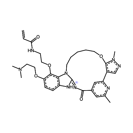 C=CC(=O)NCCOc1c(OCCN(C)C)ccc2c1N1CCCCCOc3c(cnn3C)-c3cc(cc(C)n3)C(=O)/N=C/1N2